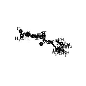 Cc1ncsc1-c1ccc([C@H](C)NC(=O)[C@@H]2C[C@@H](O)CN2C(=O)[C@@H](NC(=O)CCCCCC(=O)N2CCN(CC[C@H](CSc3ccccc3)Nc3ccc(S(=O)(=O)NC(=O)c4ccc(N5C[C@H]6CN(CC7=C(c8ccc(Cl)cc8)CCC(C)(C)C7)C[C@H]6C5)cc4)cc3S(=O)(=O)C(F)(F)F)CC2)C(C)(C)C)cc1